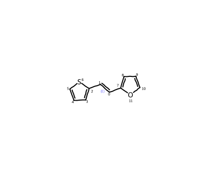 C(=C\c1cccs1)/c1ccco1